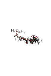 CCCCCCCC1(CCCCCCC)c2ccccc2-c2ccc(-c3ccc4c(c3)C(C)(C)c3cc(-c5ccc(-c6cc7c(c8c6oc6ccccc68)-c6ccc(N(c8ccc9c(c8)C(C)(C)c8c%10c(c%11oc%12ccccc%12c%11c8-9)-c8ccccc8C%10(C)C)c8ccccc8C(C)(C)C)cc6C7(C)C)cc5)ccc3-4)cc21